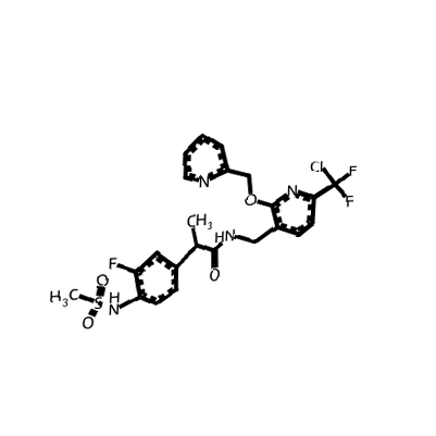 CC(C(=O)NCc1ccc(C(F)(F)Cl)nc1OCc1ccccn1)c1ccc(NS(C)(=O)=O)c(F)c1